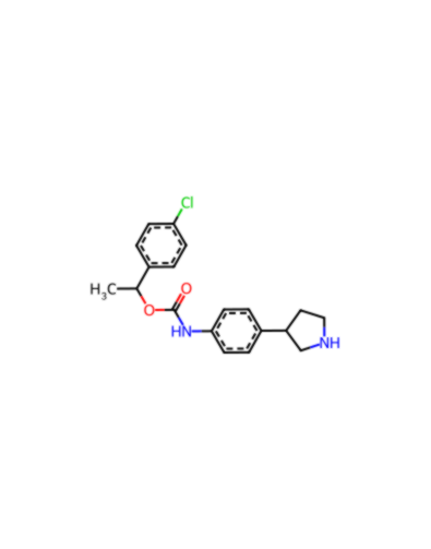 CC(OC(=O)Nc1ccc(C2CCNC2)cc1)c1ccc(Cl)cc1